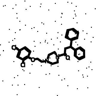 O=C(CC(c1ccccc1)c1ccccc1)N1CCN(CCOc2ccc(Cl)cc2Cl)CC1